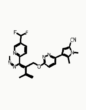 C=C(C)/C(COc1ccc(-c2cc(C#N)n(C)c2C)nn1)=C(\N=N/C)c1ccc(C(F)F)cn1